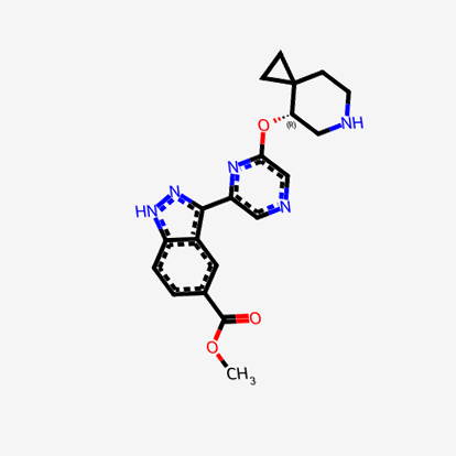 COC(=O)c1ccc2[nH]nc(-c3cncc(O[C@H]4CNCCC45CC5)n3)c2c1